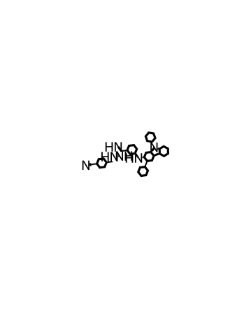 N#Cc1ccc(CNNC(=N)c2cccc(Nc3cc4c(cc3-c3ccccc3)c3ccccc3n4-c3ccccc3)c2)cc1